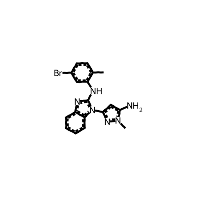 Cc1ccc(Br)cc1Nc1nc2ccccc2n1-c1cc(N)n(C)n1